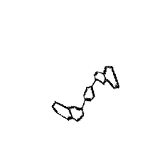 c1ccc2cc(-c3ccc(-c4ccc5ccccc5c4)cc3)ccc2c1